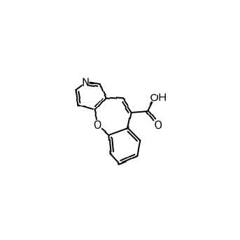 O=C(O)C1=Cc2cnccc2Oc2ccccc21